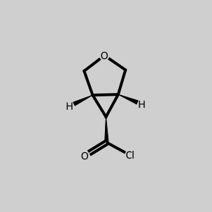 O=C(Cl)[C@H]1[C@@H]2COC[C@@H]21